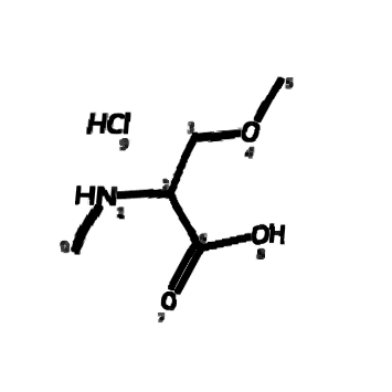 CNC(COC)C(=O)O.Cl